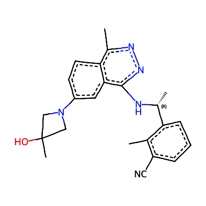 Cc1c(C#N)cccc1[C@@H](C)Nc1nnc(C)c2ccc(N3CC(C)(O)C3)cc12